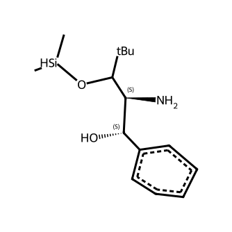 C[SiH](C)OC([C@@H](N)[C@@H](O)c1ccccc1)C(C)(C)C